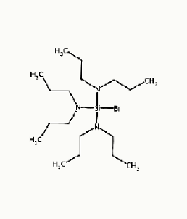 CCCN(CCC)[Si](Br)(N(CCC)CCC)N(CCC)CCC